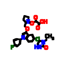 CCN1CCNC1=O.O=C(O)C(=O)ON1CCCC1COc1cn(-c2ccc(F)cc2)c2ccc(Cl)cc12